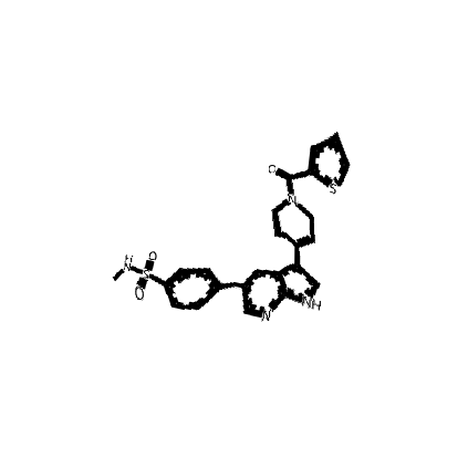 CNS(=O)(=O)c1ccc(-c2cnc3[nH]cc(C4=CCN(C(=O)c5cccs5)CC4)c3c2)cc1